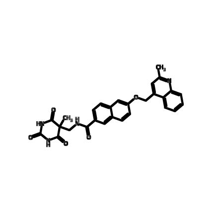 Cc1cc(COc2ccc3cc(C(=O)NCC4(C)C(=O)NC(=O)NC4=O)ccc3c2)c2ccccc2n1